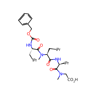 CC(C)C[C@H](NC(=O)OCc1ccccc1)C(=O)N(C)[C@@H](CC(C)C)C(=O)N[C@H](C(=O)N(C)CC(=O)O)C(C)C